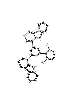 N#Cc1cccc(C#N)c1-c1cc(-c2cccc3c2sc2ccccc23)cc(-c2cccc3c2sc2ccccc23)c1